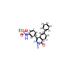 CCS(=O)(=O)Nc1cccc(-c2cn(C)c(=O)c3ccc(-c4ccccc4)cc23)c1